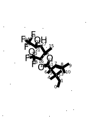 CCC(C)(C)C(C)(C=C(C)C)C(=O)OC1(C)CC(F)(F)OC(O)(C(F)(F)F)C1